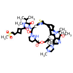 CCn1c(-c2cc(N3CCN(C)CC3)cnc2[C@H](C)OC)c2c3cc(ccc31)-c1csc(n1)C[C@H](NC(=O)[C@H](C(C)C)N(C)C(=O)C1CC(/C=C/S(C)(=O)=O)C1)C(=O)N1CCC[C@H](N1)C(=O)OCC(C)(C)C2